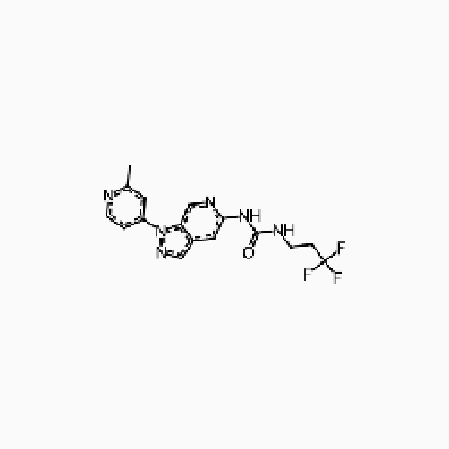 Cc1cc(-n2ncc3cc(NC(=O)NCCC(F)(F)F)ncc32)ccn1